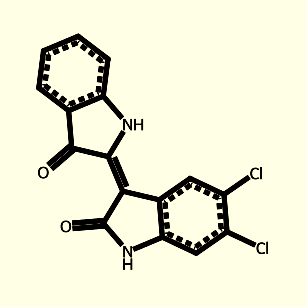 O=C1Nc2cc(Cl)c(Cl)cc2C1=C1Nc2ccccc2C1=O